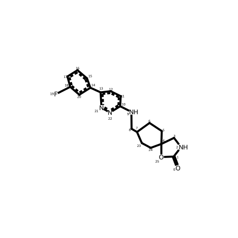 O=C1NCC2(CCC(CNc3ccc(-c4cccc(F)c4)nn3)CC2)O1